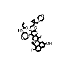 C#Cc1c(F)ccc2cc(O)cc(-c3ncc4c(N5CCOCC(NC(=O)C=C)C5)c5c(nc4c3F)OC(C3(CN4CCOCC4)CC3)CO5)c12